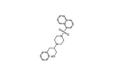 O=S(=O)(c1cccc2ccccc12)N1CCN(C(CO)Cc2ccccc2)CC1